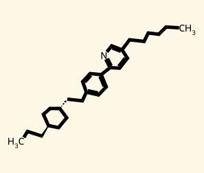 CCCCCCc1ccc(-c2ccc(CC[C@H]3CC[C@H](CCC)CC3)cc2)nc1